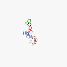 O=C(COc1ccc(Cl)c(F)c1)N[C@H]1CCCN(C2CCC(OC(F)(F)F)C2)C1